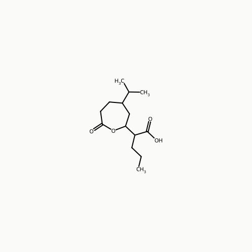 CCCC(C(=O)O)C1CC(C(C)C)CCC(=O)O1